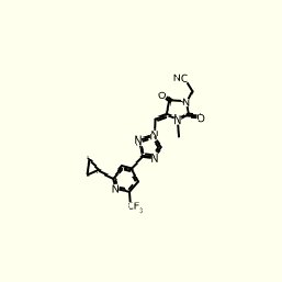 CN1C(=O)N(CC#N)C(=O)/C1=C/n1cnc(-c2cc(C3CC3)nc(C(F)(F)F)c2)n1